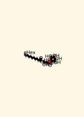 CCCCCC/C=C\CCCCCCCCC(=O)OC[C@@H](O)COP(=O)(O)O[C@H]1C(O)C(O)C(O)[C@@H](O)C1O